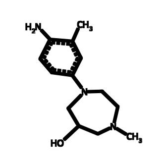 Cc1cc(N2CCN(C)CC(O)C2)ccc1N